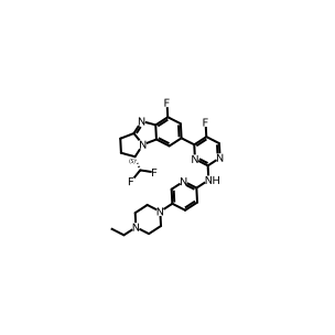 CCN1CCN(c2ccc(Nc3ncc(F)c(-c4cc(F)c5nc6n(c5c4)[C@H](C(F)F)CC6)n3)nc2)CC1